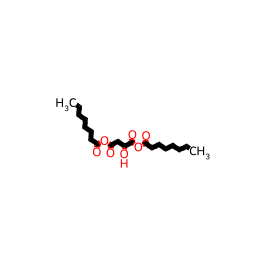 CCCCCCCC(=O)OC(=O)CC(O)C(=O)OC(=O)CCCCCCC